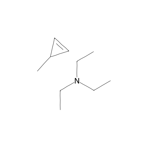 CC1C=C1.CCN(CC)CC